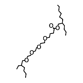 CCCCCCC(CCCC)COC(=O)CCCOCCOCCOCCOCC(CC)CCCC